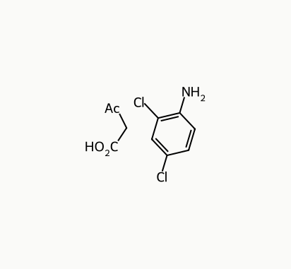 CC(=O)CC(=O)O.Nc1ccc(Cl)cc1Cl